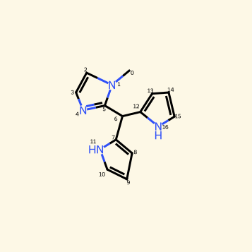 Cn1ccnc1C(c1ccc[nH]1)c1ccc[nH]1